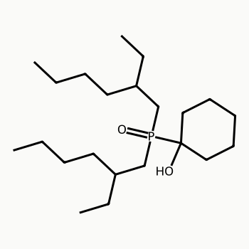 CCCCC(CC)CP(=O)(CC(CC)CCCC)C1(O)CCCCC1